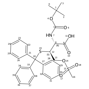 CC(C)(C)OC(=O)N[C@H](C(=O)O)[C@@H](COS(C)(=O)=O)SC(c1ccccc1)(c1ccccc1)c1ccccc1